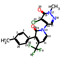 Cc1ccc(-c2c(C(F)(F)F)ccn(-c3cnn(C)c(=O)c3Cl)c2=O)cc1